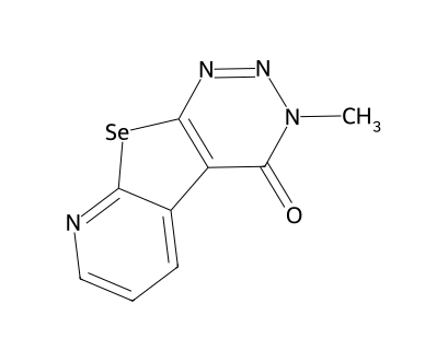 Cn1nnc2[se]c3ncccc3c2c1=O